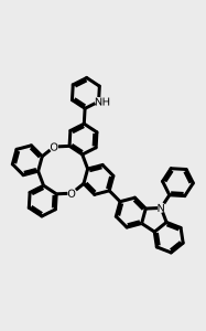 C1=CCNC(c2ccc3c(c2)Oc2ccccc2-c2ccccc2Oc2cc(-c4ccc5c6ccccc6n(-c6ccccc6)c5c4)ccc2-3)=C1